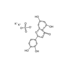 O=S(=O)([O-])[O-].O=c1cc(-c2ccc(O)c(O)c2)oc2cc(O)cc(O)c12.[K+].[K+]